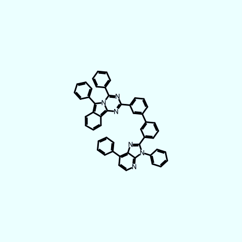 c1ccc(-c2ccnc3c2nc(-c2cccc(-c4cccc(-c5nc(-c6ccccc6)n6c(-c7ccccc7)c7ccccc7c6n5)c4)c2)n3-c2ccccc2)cc1